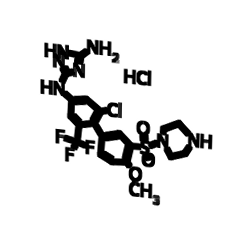 COc1ccc(-c2c(Cl)cc(Nc3n[nH]c(N)n3)cc2C(F)(F)F)cc1S(=O)(=O)N1CCNCC1.Cl